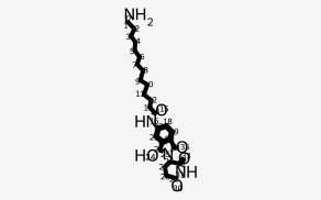 NCCCCCCCCCCCCCC(=O)Nc1ccc2c(c1)C(O)N(C1CCC(=O)NC1=O)C2=O